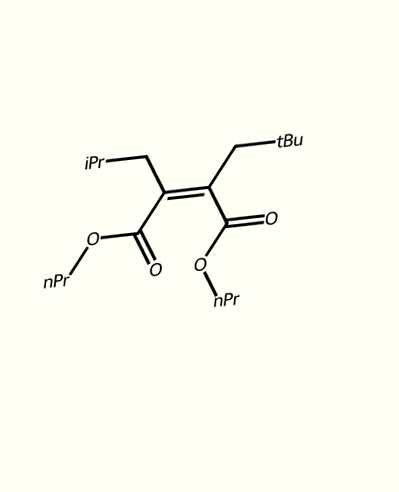 CCCOC(=O)/C(CC(C)C)=C(/CC(C)(C)C)C(=O)OCCC